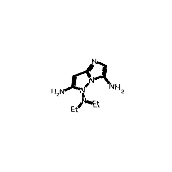 CCN(CC)n1c(N)cc2ncc(N)n21